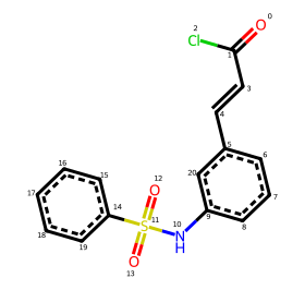 O=C(Cl)C=Cc1cccc(NS(=O)(=O)c2ccccc2)c1